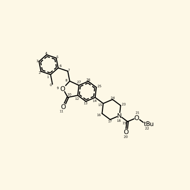 Cc1ccccc1CC1OC(=O)c2cc(C3CCN(C(=O)OC(C)(C)C)CC3)ccc21